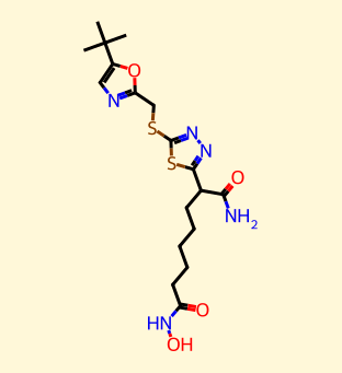 CC(C)(C)c1cnc(CSc2nnc(C(CCCCCC(=O)NO)C(N)=O)s2)o1